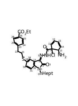 CCCCCCCN1C(=O)C(=NNC(=O)C2(Cl)C=CC=CC2N)c2cc(SCCc3ccc(C(=O)OCC)cc3)ccc21